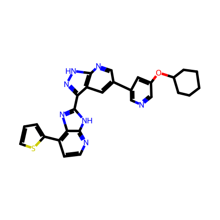 c1csc(-c2ccnc3[nH]c(-c4n[nH]c5ncc(-c6cncc(OC7CCCCC7)c6)cc45)nc23)c1